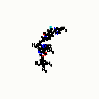 C=C(OCC)c1c(N[C@@H](C)CCCn2ccc3cc(-c4ncc(C(F)(F)F)cn4)c(F)cc3c2=O)cnn(COCC[Si](C)(C)C)c1=O